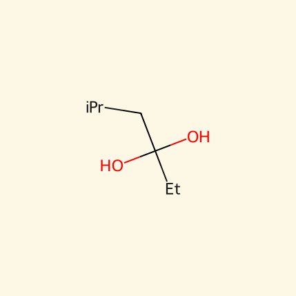 [CH2]CC(O)(O)CC(C)C